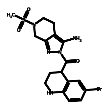 CC(C)c1ccc2c(c1)C(C(=O)n1nc3c(c1N)CCN(S(C)(=O)=O)C3)CCN2